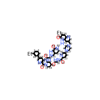 CCc1cccc(-c2cnc(C(=O)N3CCC(OCCNC(=O)c4ccc(N5CCN(Cc6cnc7cc(CC)c(=O)[nH]c7c6)CC5)cn4)CC3)c(NC(=O)CNCC3CCN(C)C(=O)C3)c2)c1